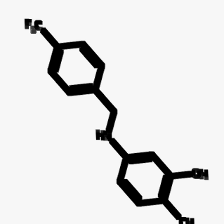 Cc1ccc(NCc2ccc(C(F)(F)F)cc2)cc1O